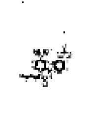 CCCCn1c(=O)nc(-c2cccc(OC(C)=O)c2)c2cc([N+](=O)[O-])ccc21